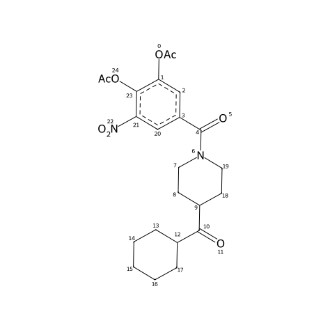 CC(=O)Oc1cc(C(=O)N2CCC(C(=O)C3CCCCC3)CC2)cc([N+](=O)[O-])c1OC(C)=O